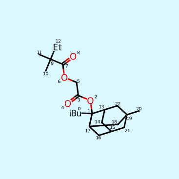 CCC(C)C1(OC(=O)COC(=O)C(C)(C)CC)C2CC3CC1CC(C)(C3)C2